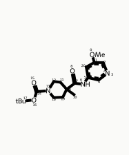 COc1cncc(NC(=O)C2(C)CCN(C(=O)OC(C)(C)C)CC2)c1